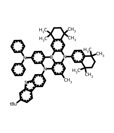 Cc1cc2c3c(c1)N(c1ccc4c(c1)C(C)(C)CCC4(C)C)c1cc4c(cc1B3c1ccc(N(c3ccccc3)c3ccccc3)cc1N2c1ccc2c(c1)sc1cc(C(C)(C)C)ccc12)C(C)(C)CCC4(C)C